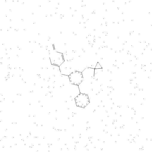 C=N/C=C\C(=C/C)Nc1nc(NC2(C)CC2)nc(-c2ccccc2)n1